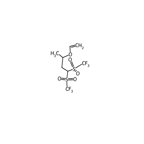 C=COC(C)CC(S(=O)(=O)C(F)(F)F)S(=O)(=O)C(F)(F)F